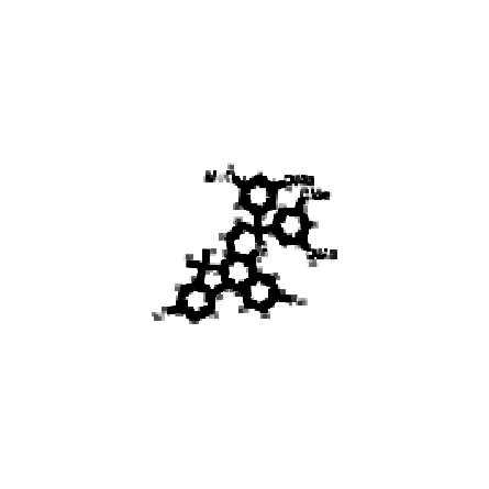 COc1cc(OC)cc(C2(c3cc(OC)cc(OC)c3)C=Cc3c4c(c5ccc(F)cc5c3O2)-c2ccc(F)cc2C4(C)C)c1